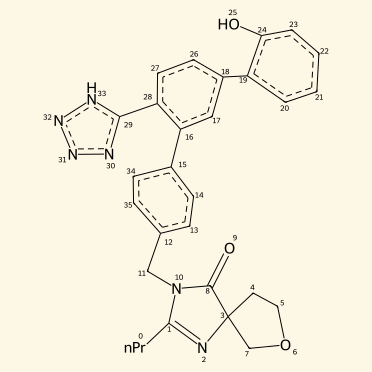 CCCC1=NC2(CCOC2)C(=O)N1Cc1ccc(-c2cc(-c3ccccc3O)ccc2-c2nnn[nH]2)cc1